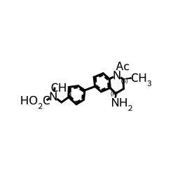 CC(=O)N1c2ccc(-c3ccc(CN(C)C(=O)O)cc3)cc2[C@H](N)C[C@@H]1C